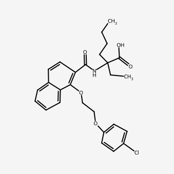 CCCCC(CC)(NC(=O)c1ccc2ccccc2c1OCCOc1ccc(Cl)cc1)C(=O)O